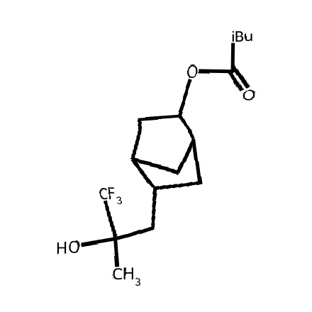 CCC(C)C(=O)OC1CC2CC1CC2CC(C)(O)C(F)(F)F